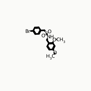 COc1ccc(CNS(=O)(=O)Cc2ccc(Br)cc2)c(OC)c1